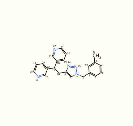 Cc1cccc(Cn2cc(CC(c3cccnc3)c3cccnc3)nn2)c1